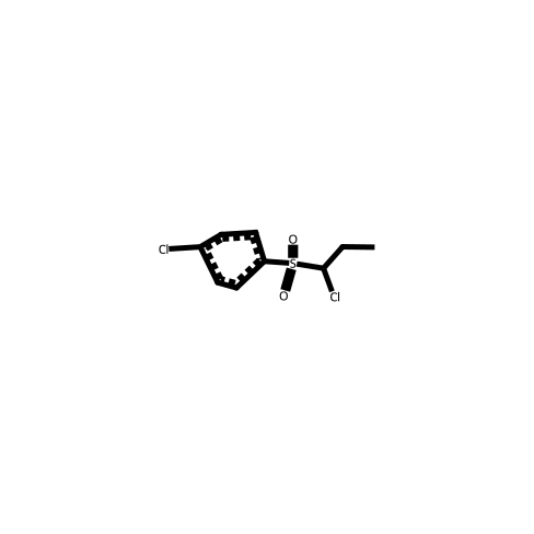 CCC(Cl)S(=O)(=O)c1ccc(Cl)cc1